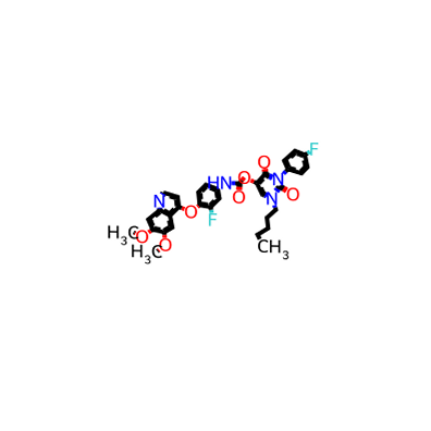 CCCCCn1cc(OC(=O)Nc2ccc(Oc3ccnc4cc(OC)c(OC)cc34)c(F)c2)c(=O)n(-c2ccc(F)cc2)c1=O